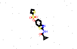 O=C(Nc1nc2ccc(OS(=O)(=O)c3cccs3)cc2s1)C1CC1